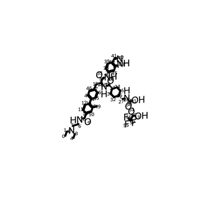 CCN(CC)CCNC(=O)c1ccc(-c2ccc(C[C@H](NC(=O)[C@H]3CC[C@H](CNC(=O)O)CC3)C(=O)Nc3ccc4cn[nH]c4c3)cc2)c(C)c1.O=C(O)C(F)(F)F